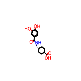 O=C(NC[C@H]1CC[C@H](C(=O)O)CC1)c1ccc(O)c(O)c1